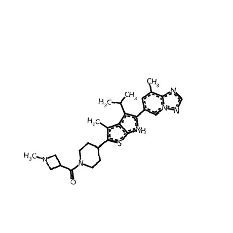 Cc1c(C2CCN(C(=O)C3CN(C)C3)CC2)sc2[nH]c(-c3cc(C)c4ncnn4c3)c(C(C)C)c12